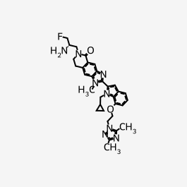 Cc1nc(C)n(CCOc2cccc3cc(-c4nc5cc6c(cc5n4C)CCN(C[C@H](N)CF)C6=O)n(CC4CC4)c23)n1